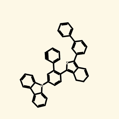 c1cccc(-c2cc(-n3c4ccccc4c4ccccc43)ccc2-c2sc(-c3cccc(-c4ccccc4)c3)c3c2CCC=C3)c#1